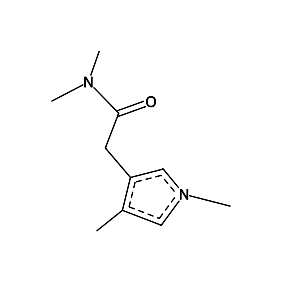 Cc1cn(C)cc1CC(=O)N(C)C